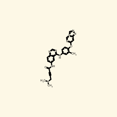 Cc1cc(Nc2ncnc3ccc(NC(=O)C#CCN(C)C)cc23)ccc1Oc1cc2nncn2cn1